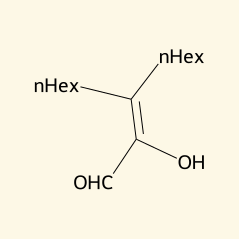 CCCCCCC(CCCCCC)=C(O)C=O